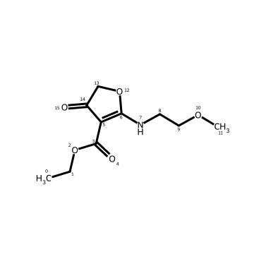 CCOC(=O)C1=C(NCCOC)OCC1=O